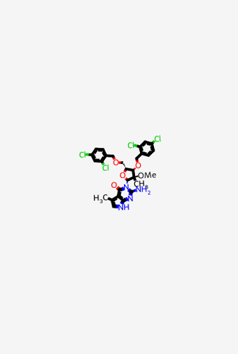 CO[C@]1(C)[C@H](OCc2ccc(Cl)cc2Cl)[C@@H](COCc2ccc(Cl)cc2Cl)O[C@H]1n1c(N)nc2[nH]cc(C)c2c1=O